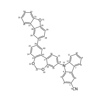 N#Cc1ccc2c(c1)c1ccccc1n2-c1ccc2c(c1)OCOc1ccc(-c3ccc4oc5ccccc5c4c3)cc1-2